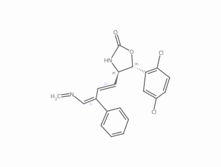 C=N/C=C(\C=C\[C@H]1NC(=O)O[C@@H]1c1cc(Cl)ccc1Cl)c1ccccc1